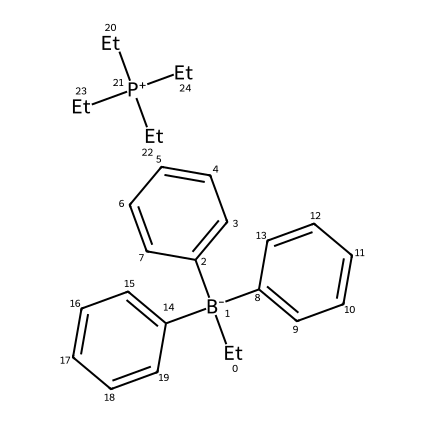 CC[B-](c1ccccc1)(c1ccccc1)c1ccccc1.CC[P+](CC)(CC)CC